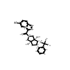 O=C(c1nnc2ccc(Br)cn12)N1C[C@H]2C[C@H](c3ccccc3C(F)(F)F)C[C@H]2C1